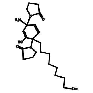 CCCCCCCCCCCCCCCCCCC1(N2CCCC2=O)C=CC(N)(N2CCCC2=O)C=C1O